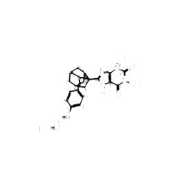 CCCn1c(=O)c2[nH]c(C34CC5CC(CC3C5)C4c3ccc(SOOO)cc3)nc2n(CCC)c1=O